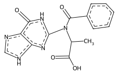 CC(C(=O)O)N(C(=O)c1ccccc1)c1nc2[nH]cnc2c(=O)[nH]1